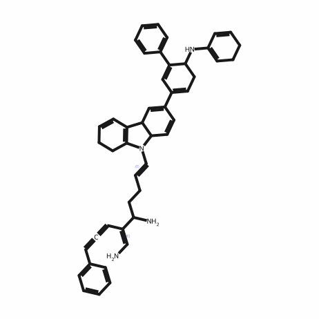 N/C=C(\C=C=Cc1ccccc1)C(N)CC/C=C/N1C2=C(C=CCC2)C2C=C(C3=CCC(NC4=CCCC=C4)C(c4ccccc4)=C3)C=CC21